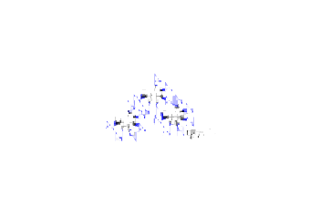 N#[C][Ru-2]([C]#N)([C]#N)([C]#N)([C]#N)[C]#N.N#[C][Ru-2]([C]#N)([C]#N)([C]#N)([C]#N)[C]#N.N#[C][Ru-2]([C]#N)([C]#N)([C]#N)([C]#N)[C]#N.[Fe+3].[Fe+3]